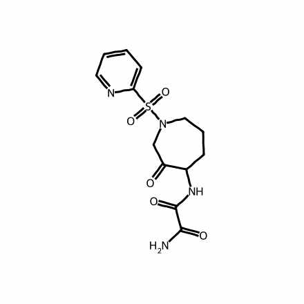 NC(=O)C(=O)NC1CCCN(S(=O)(=O)c2ccccn2)CC1=O